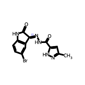 Cc1cc(C(=O)N/N=C2/C(=O)Nc3ccc(Br)cc32)[nH]n1